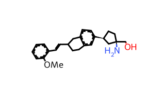 COc1ccccc1/C=C/C1CCc2cc([C@H]3CC[C@](N)(CO)C3)ccc2C1